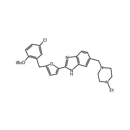 CCN1CCN(Cc2ccc3nc(-c4ccc(Cc5cc(Cl)ccc5OCC(C)C)o4)[nH]c3c2)CC1